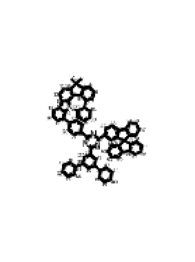 CC1(C)c2cccc3c2-c2c1ccc1c4cccc(-c5ccc(-c6nc(-c7cc(-c8ccccc8)cc(-c8ccccc8)c7)nc(-c7ccc8c(c7)C7(c9ccccc9-c9ccccc97)c7ccccc7-8)n6)cc5)c4n(c21)-c1ccccc1-3